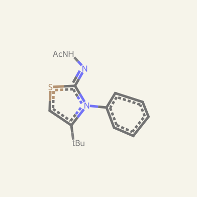 CC(=O)NN=c1scc(C(C)(C)C)n1-c1ccccc1